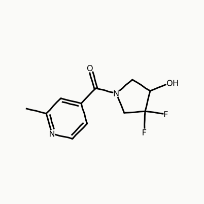 Cc1cc(C(=O)N2CC(O)C(F)(F)C2)ccn1